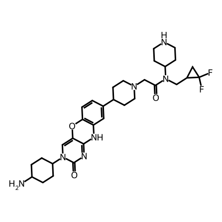 NC1CCC(n2cc3c(nc2=O)Nc2cc(C4CCN(CC(=O)N(CC5CC5(F)F)C5CCNCC5)CC4)ccc2O3)CC1